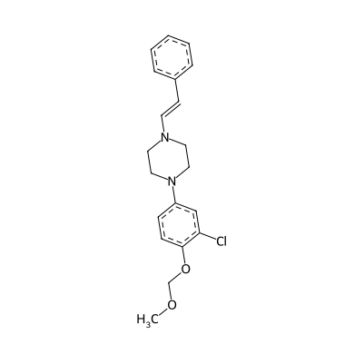 COCOc1ccc(N2CCN(C=Cc3ccccc3)CC2)cc1Cl